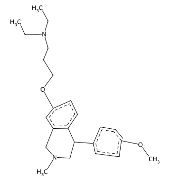 CCN(CC)CCCOc1ccc2c(c1)CN(C)CC2c1ccc(OC)cc1